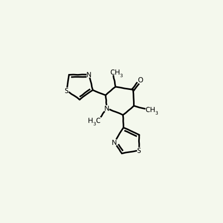 CC1C(=O)C(C)C(c2cscn2)N(C)C1c1cscn1